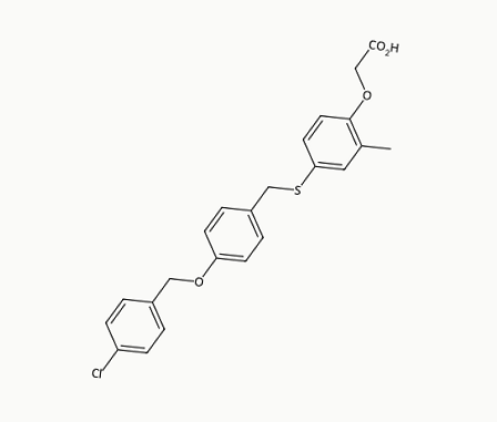 Cc1cc(SCc2ccc(OCc3ccc(Cl)cc3)cc2)ccc1OCC(=O)O